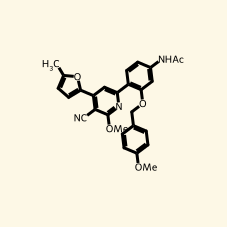 COc1ccc(COc2cc(NC(C)=O)ccc2-c2cc(-c3ccc(C)o3)c(C#N)c(OC)n2)cc1